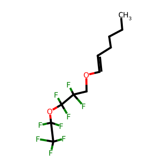 CCCCC=COCC(F)(F)C(F)(F)OC(F)(F)C(F)(F)F